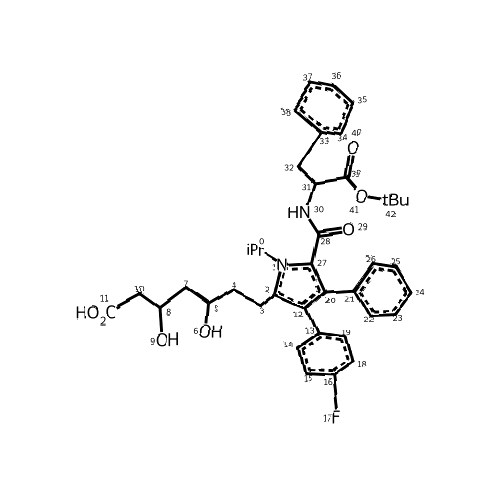 CC(C)n1c(CCC(O)CC(O)CC(=O)O)c(-c2ccc(F)cc2)c(-c2ccccc2)c1C(=O)NC(Cc1ccccc1)C(=O)OC(C)(C)C